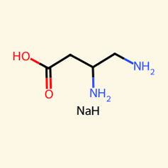 NCC(N)CC(=O)O.[NaH]